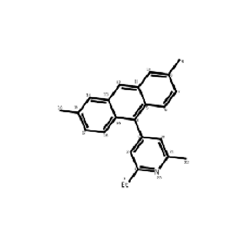 CCc1cc(-c2c3ccc(C)cc3cc3cc(C)ccc23)cc(C)n1